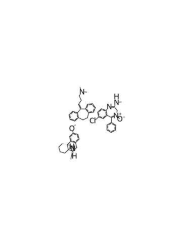 CN(C)CCC=C1c2ccccc2CCc2ccccc21.CNC1=Nc2ccc(Cl)cc2C(c2ccccc2)=[N+]([O-])C1.COc1ccc2c(c1)[C@]13CCCC[C@@H]1[C@H](C2)N(C)CC3